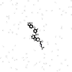 Cc1cc(Nc2ncnc3sc4c(c23)CCN(C(=O)/C=C/CN(C)C)C4)ccc1Oc1ccc2cn[nH]c2c1